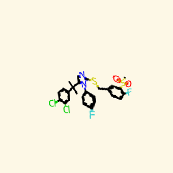 CC(C)(c1ccc(Cl)c(Cl)c1)c1cnc(SCc2ccc(F)c(S(C)(=O)=O)c2)n1-c1ccc(F)cc1